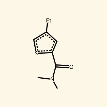 CCc1csc(C(=O)N(C)C)c1